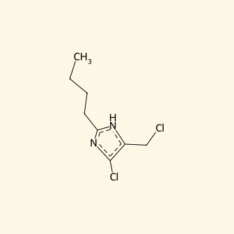 CCCCc1nc(Cl)c(CCl)[nH]1